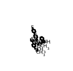 C[C@H](c1c[nH]c2ccccc12)[C@@H](NC(=O)N1CCN(c2ccc(F)cc2)CC1)C(=O)Nc1cc(CN(C)C)ccc1-c1ccsc1